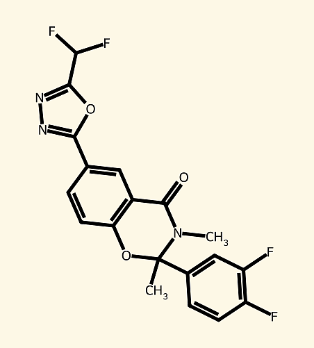 CN1C(=O)c2cc(-c3nnc(C(F)F)o3)ccc2OC1(C)c1ccc(F)c(F)c1